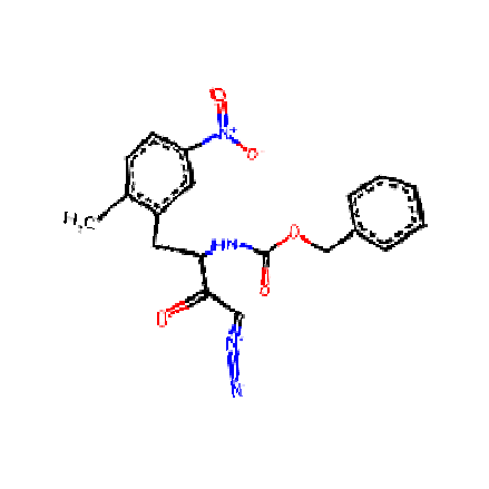 Cc1ccc([N+](=O)[O-])cc1CC(NC(=O)OCc1ccccc1)C(=O)C=[N+]=[N-]